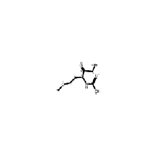 COCC[C@H](NC(=O)O)C(=O)CBr